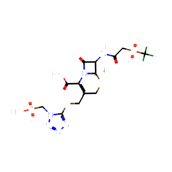 O=C(CS(=O)(=O)C(F)(F)F)NC1C(=O)N2C(C(=O)O)=C(CSc3nnnn3CS(=O)(=O)O)CS[C@H]12